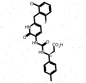 Cc1ccc([C@H](CC(=O)O)NC(=O)Nc2ccc(Cc3c(F)cccc3Cl)[nH]c2=O)cc1